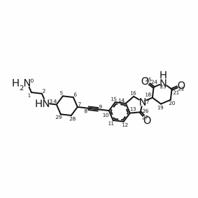 NCCNC1CCC(C#Cc2ccc3c(c2)CN(C2CCC(=O)NC2=O)C3=O)CC1